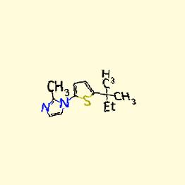 CCC(C)(C)c1ccc(-n2ccnc2C)s1